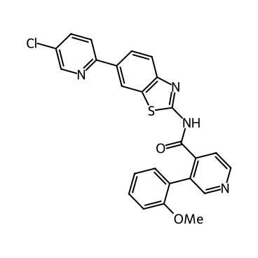 COc1ccccc1-c1cnccc1C(=O)Nc1nc2ccc(-c3ccc(Cl)cn3)cc2s1